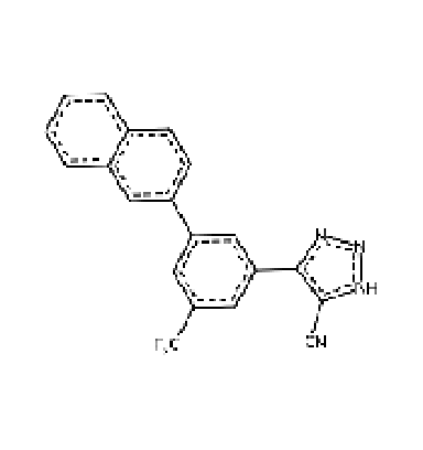 N#Cc1[nH]nnc1-c1cc(-c2ccc3ccccc3c2)cc(C(F)(F)F)c1